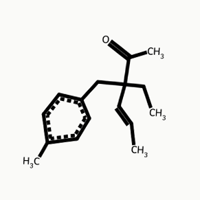 CC=CC(CC)(Cc1ccc(C)cc1)C(C)=O